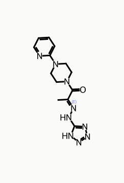 C/C(=N\Nc1nnn[nH]1)C(=O)N1CCN(c2ccccn2)CC1